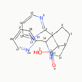 O=C(O)C1C2CCC1(c1ncccn1)C(c1ccccn1)NC2